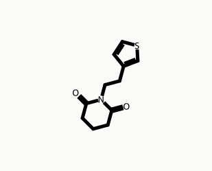 O=C1CCCC(=O)N1CCc1ccsc1